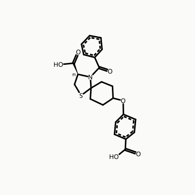 O=C(O)c1ccc(OC2CCC3(CC2)SC[C@@H](C(=O)O)N3C(=O)c2ccccc2)cc1